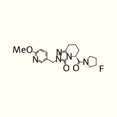 COc1ccc(Cn2nc3n(c2=O)[C@H](C(=O)N2CC[C@H](F)C2)CCC3)cn1